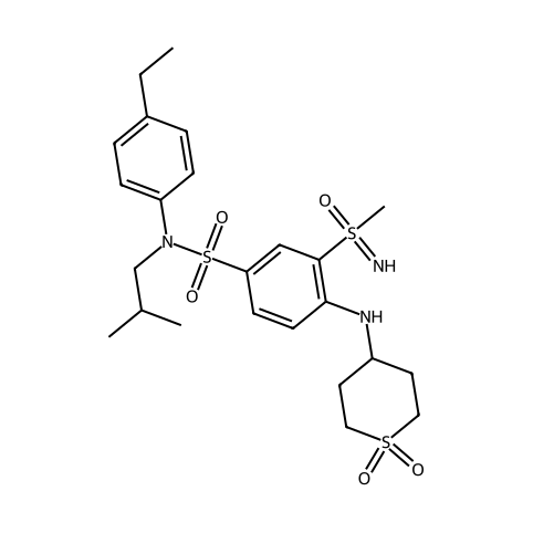 CCc1ccc(N(CC(C)C)S(=O)(=O)c2ccc(NC3CCS(=O)(=O)CC3)c(S(C)(=N)=O)c2)cc1